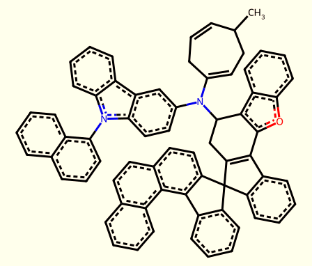 CC1C=CCC(N(c2ccc3c(c2)c2ccccc2n3-c2cccc3ccccc23)C2CC3=C(c4ccccc4C34c3ccccc3-c3c4ccc4ccc5ccccc5c34)c3oc4ccccc4c32)=CC1